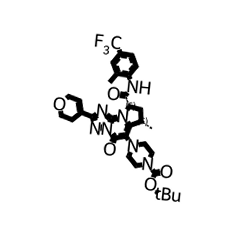 Cc1cc(C(F)(F)F)ccc1NC(=O)[C@@H]1C[C@H](C)c2c(N3CCN(C(=O)OC(C)(C)C)CC3)c(=O)n3nc(C4=CCOCC4)nc3n21